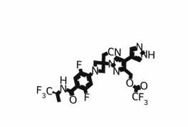 C[C@H](NC(=O)c1cc(F)c(N2CC(CC#N)(n3cc(-c4cn[nH]c4)c(COC(=O)C(F)(F)F)n3)C2)cc1F)C(F)(F)F